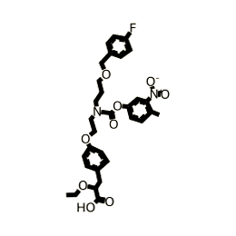 CCOC(Cc1ccc(OCCN(CCCOCc2ccc(F)cc2)C(=O)Oc2ccc(C)c([N+](=O)[O-])c2)cc1)C(=O)O